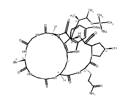 CC[C@H](C)[C@@H]1NC(=O)CNC(=O)[C@@H]2Cc3c([nH]c4cc(OC)ccc34)SC[C@H](NC(=O)CNC1=O)C(=O)N[C@@H](CCC(N)=O)C(=O)N1C[C@H](O)CC1C(=O)N[C@H]([C@@H](C)C(C)O[Si](C)(C)C(C)(C)C)C(=O)N2